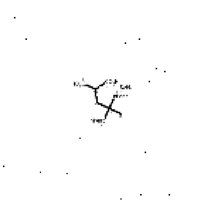 CCCCCC(C)(CCCCC)CC(C(=O)O)C(=O)O.[BaH2]